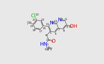 CC(C)NC(=O)Cc1cc2cc(O)cnc2nc1-c1ccc(F)c(Cl)c1